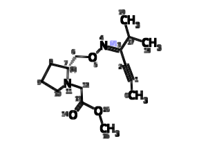 CC#C/C(=N\OC[C@H]1CCCN1CC(=O)OC)C(C)C